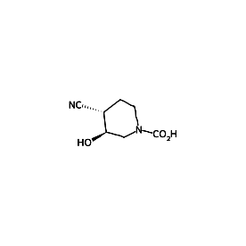 N#C[C@@H]1CCN(C(=O)O)C[C@H]1O